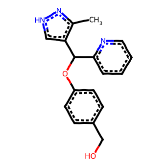 Cc1n[nH]cc1C(Oc1ccc(CO)cc1)c1ccccn1